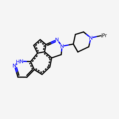 CC(C)N1CCC(N2Cc3ccc4c(c5ccc(c3-5)=N2)NN=CC=4)CC1